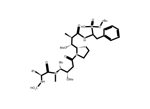 CCCCOP(=O)(O)C(Cc1ccccc1)NC(=O)[C@H](C)[C@@H](OC)[C@@H]1CCCN1C(=O)C[C@H](OC)[C@H]([C@@H](C)CC)N(C)C(=O)[C@@H](NC(=O)O)C(C)C